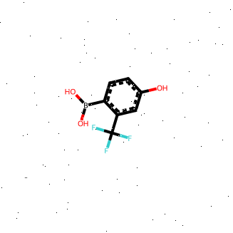 OB(O)c1ccc(O)cc1C(F)(F)F